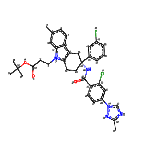 Cc1ccc2c3c(n(CCC(=O)OC(C)(C)C)c2c1)CC[C@](NC(=O)c1ccc(-n2cnc(C)n2)cc1Cl)(c1cccc(F)c1)C3